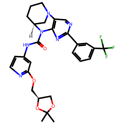 CC1(C)OC[C@H](COc2cc(NC(=O)N3c4nc(-c5cccc(C(F)(F)F)c5)ncc4N4CCC[C@H]3C4)ccn2)O1